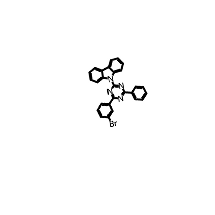 Brc1cccc(-c2nc(-c3ccccc3)nc(-n3c4ccccc4c4ccccc43)n2)c1